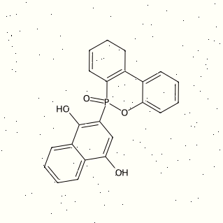 O=P1(c2cc(O)c3ccccc3c2O)Oc2ccccc2C2=C1C=CCC2